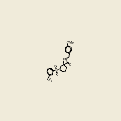 COc1ccc(CNC(=O)C2(C)CCCN(S(=O)(=O)c3cccc(C(F)(F)F)c3)C2)cc1